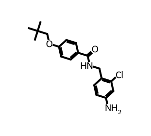 CC(C)(C)COc1ccc(C(=O)NCc2ccc(N)cc2Cl)cc1